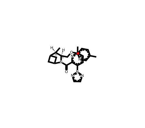 Cc1ccc(OC[C@@H]2[C@H](C)C3CC(C3)N2C(=O)c2nc(C)ccc2-n2nccn2)nc1